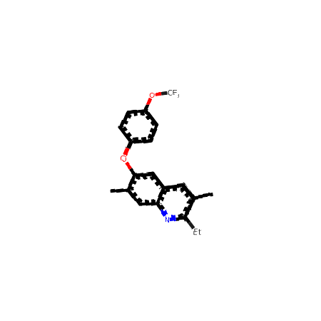 CCc1nc2cc(C)c(Oc3ccc(OC(F)(F)F)cc3)cc2[c]c1C